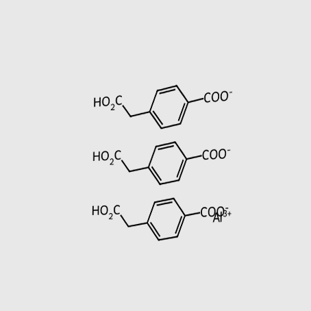 O=C(O)Cc1ccc(C(=O)[O-])cc1.O=C(O)Cc1ccc(C(=O)[O-])cc1.O=C(O)Cc1ccc(C(=O)[O-])cc1.[Al+3]